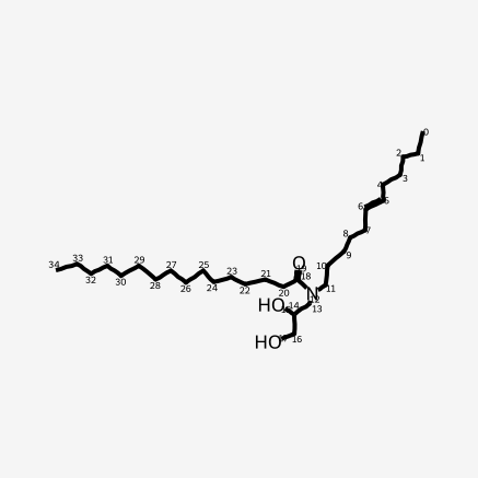 CCCCCC=CCCCCCN(CC(O)CO)C(=O)CCCCCCCCCCCCCCC